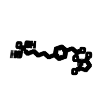 O=C(Cc1ccc(CCCCCP(=O)(O)O)cc1)ON1C(=O)CCC1=O